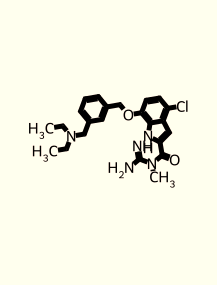 CCN(CC)Cc1cccc(COc2ccc(Cl)c3cc(C(=O)N(C)C(=N)N)[nH]c23)c1